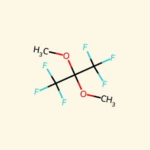 COC(OC)(C(F)(F)F)C(F)(F)F